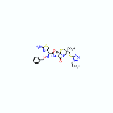 Nc1nc(C(=NOCc2ccccc2)C(=O)NC2C(=O)N3CC(CSc4nnnn4CC(=O)O)(C(=O)O)CS[C@H]23)cs1